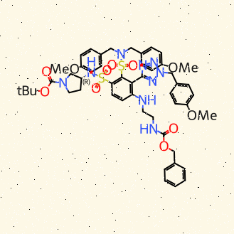 COc1ccc(CN(Cc2ccc(OC)cc2)S(=O)(=O)c2c(S(=O)(=O)N[C@@H]3CCN(C(=O)OC(C)(C)C)C3)ccc(NCCNC(=O)OCc3ccccc3)c2-c2nnn(Cc3ccc(OC)cc3)n2)cc1